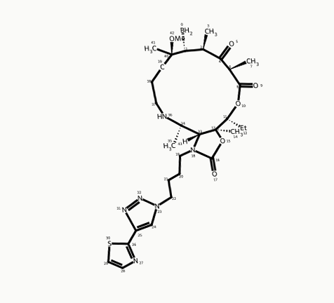 B[C@@H]1[C@@H](C)C(=O)[C@@H](C)C(=O)O[C@H](CC)[C@@]2(C)OC(=O)N(CCCCn3cc(-c4nccs4)nn3)[C@@H]2[C@H](C)NCCC[C@@]1(C)OC